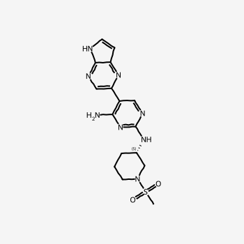 CS(=O)(=O)N1CCC[C@H](Nc2ncc(-c3cnc4[nH]ccc4n3)c(N)n2)C1